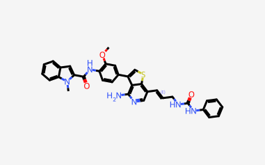 COc1cc(-c2csc3c(/C=C/CNC(=O)Nc4ccccc4)cnc(N)c23)ccc1NC(=O)c1cc2ccccc2n1C